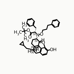 CC(C)(C)OC(=O)[C@H](Cc1ccccc1)N(OCCCc1ccccc1)[C@H]1CC[C@H]2[C@H]3Cc4ccc(O)c5c4[C@@]2(CCN3CC2CC2)[C@H]1O5